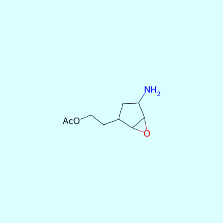 CC(=O)OCCC1CC(N)C2OC12